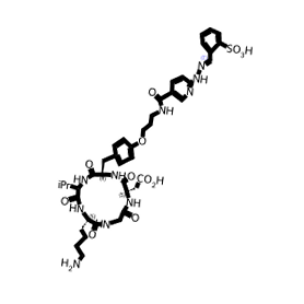 CC(C)C1NC(=O)[C@@H](Cc2ccc(OCCCNC(=O)c3ccc(N/N=C/c4ccccc4S(=O)(=O)O)nc3)cc2)NC(=O)[C@H](CC(=O)O)NC(=O)CNC(=O)[C@H](CCCCN)NC1=O